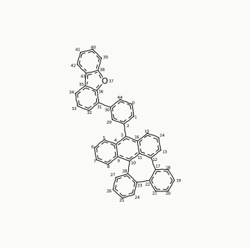 c1cc(-c2c3ccccc3c3c4c(cccc24)-c2ccccc2-c2ccccc2-3)cc(-c2cccc3c2oc2ccccc23)c1